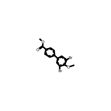 COC(=O)c1ccc(-c2cc(Br)c(OC)c(Br)c2)cc1